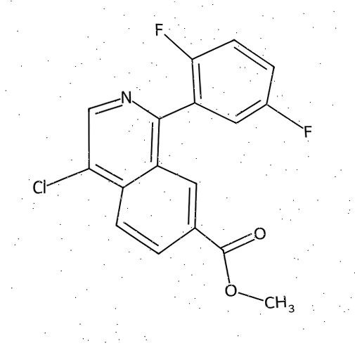 COC(=O)c1ccc2c(Cl)cnc(-c3cc(F)ccc3F)c2c1